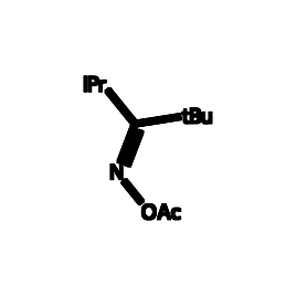 CC(=O)O/N=C(/C(C)C)C(C)(C)C